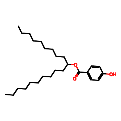 CCCCCCCCCCC(CCCCCCCCC)OC(=O)c1ccc(O)cc1